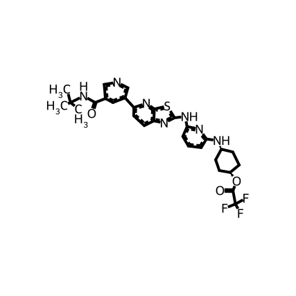 CC(C)(C)NC(=O)c1cncc(-c2ccc3nc(Nc4cccc(N[C@H]5CC[C@H](OC(=O)C(F)(F)F)CC5)n4)sc3n2)c1